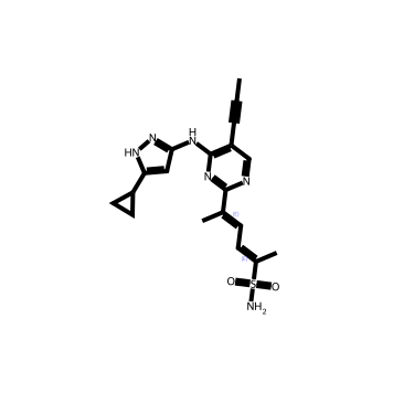 CC#Cc1cnc(/C(C)=C/C=C(\C)S(N)(=O)=O)nc1Nc1cc(C2CC2)[nH]n1